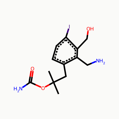 CC(C)(Cc1ccc(I)c(CO)c1CN)OC(N)=O